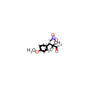 COc1ccc([C@H](C[N+](=O)[O-])C(C)(C)C=O)cc1